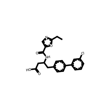 CCc1ncc(C(=O)NC(CC(=O)O)Cc2ccc(-c3cccc(Cl)c3)cc2)o1